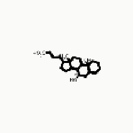 CC12CCC3C(C1CCC2CCCC(=O)O)[C@H](O)CC1CCCCC13C